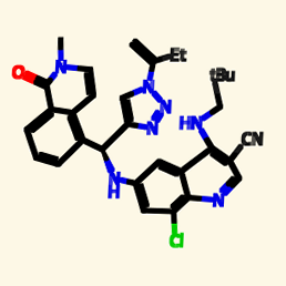 C=C(CC)n1cc([C@@H](Nc2cc(Cl)c3ncc(C#N)c(NCC(C)(C)C)c3c2)c2cccc3c(=O)n(C)ccc23)nn1